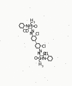 CC(=O)C(N=Nc1ccc(-c2ccc(N=NC(C(C)=O)C(=O)Nc3ccccc3Cl)c(Cl)c2)cc1Cl)C(=O)Nc1ccccc1Cl